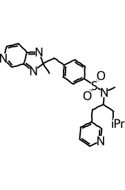 CC(C)CC(Cc1cccnc1)N(C)S(=O)(=O)c1ccc(CC2(C)N=c3ccncc3=N2)cc1